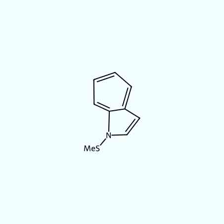 CSn1ccc2ccccc21